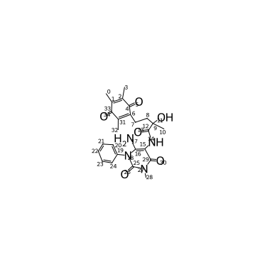 CC1=C(C)C(=O)C(CCC(C)(O)C(=O)Nc2c(N)n(-c3ccccc3)c(=O)n(C)c2=O)=C(C)C1=O